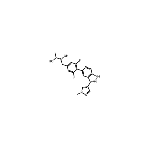 CC(O)N(O)Cc1cc(F)c(-c2cc3c(-c4cnn(C)c4)n[nH]c3cn2)c(F)c1